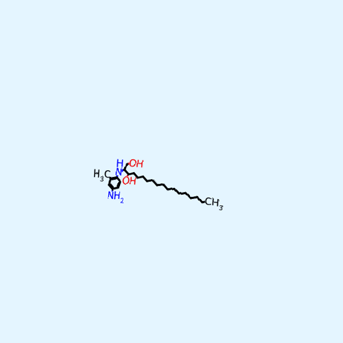 CCCCCCCCCCCCCCCC(O)C(CO)Nc1ccc(N)cc1C